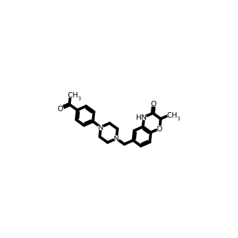 CC(=O)c1ccc(N2CCN(Cc3ccc4c(c3)NC(=O)C(C)O4)CC2)cc1